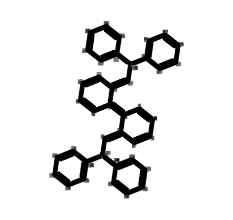 C(=c1ccccc1=c1ccccc1=CP(c1ccccc1)c1ccccc1)P(c1ccccc1)c1ccccc1